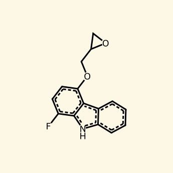 Fc1ccc(OCC2CO2)c2c1[nH]c1ccccc12